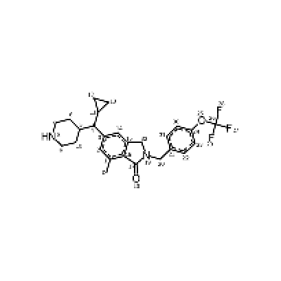 Cc1cc(C(C2CCNCC2)C2CC2)cc2c1C(=O)N(Cc1ccc(OC(F)(F)F)cc1)C2